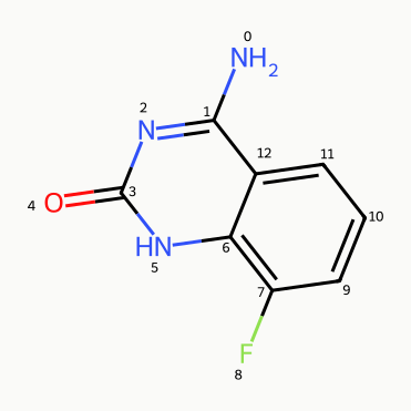 Nc1nc(=O)[nH]c2c(F)cccc12